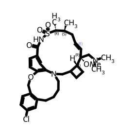 CO[C@@]1(CN(C)C)/C=C/C[C@H](C)[C@@H](C)S(=O)(=O)NC(=O)c2ccc3c(c2)N(CCCCc2cc(Cl)ccc2CO3)CC2CC[C@H]21